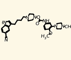 COc1ccc(NC(=O)ON2CCN(CCCCc3c[nH]c4ccc(C#N)cc34)CC2)cc1N1CCN(C)CC1